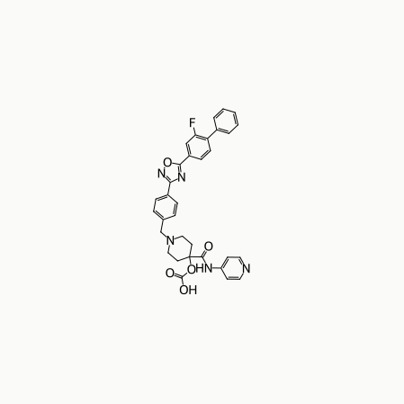 O=C(O)OC1(C(=O)Nc2ccncc2)CCN(Cc2ccc(-c3noc(-c4ccc(-c5ccccc5)c(F)c4)n3)cc2)CC1